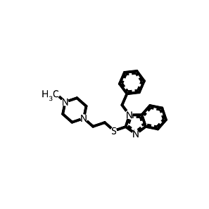 CN1CCN(CCSc2nc3ccccc3n2Cc2ccccc2)CC1